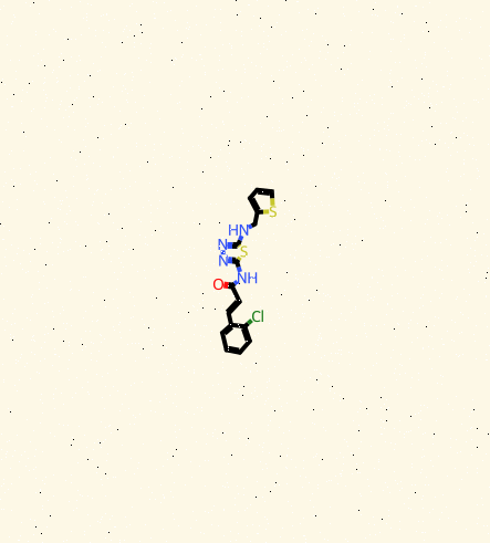 O=C(C=Cc1ccccc1Cl)Nc1nnc(NCc2cccs2)s1